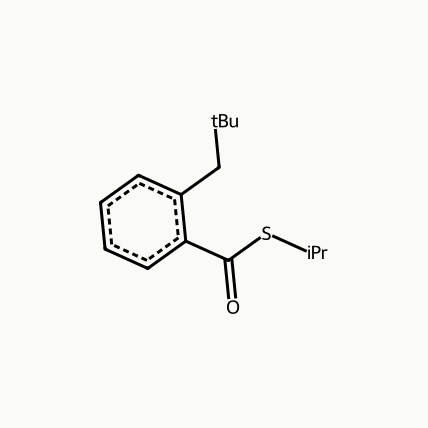 CC(C)SC(=O)c1ccccc1CC(C)(C)C